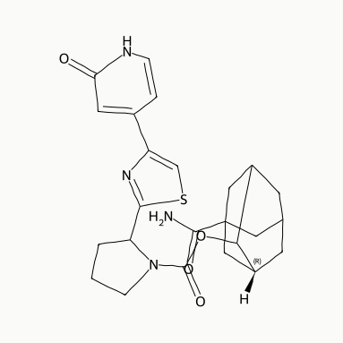 NC(=O)C12CC3CC(C1)C(OC(=O)N1CCCC1c1nc(-c4cc[nH]c(=O)c4)cs1)[C@H](C3)C2